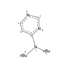 CCCCN(CCCC)c1ccn[c]n1